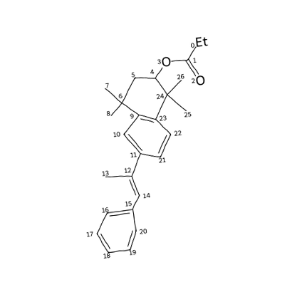 CCC(=O)OC1CC(C)(C)c2cc(C(C)=Cc3ccccc3)ccc2C1(C)C